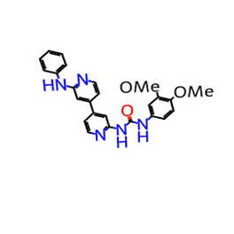 COc1ccc(NC(=O)Nc2cc(-c3ccnc(Nc4ccccc4)c3)ccn2)cc1OC